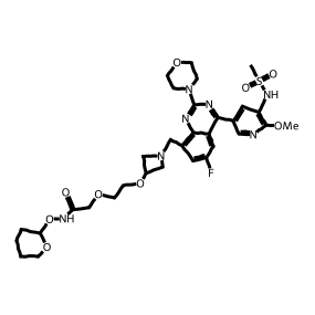 COc1ncc(-c2nc(N3CCOCC3)nc3c(CN4CC(OCCOCC(=O)NOC5CCCCO5)C4)cc(F)cc23)cc1NS(C)(=O)=O